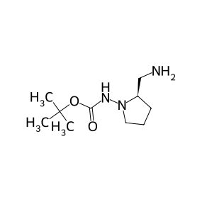 CC(C)(C)OC(=O)NN1CCC[C@@H]1CN